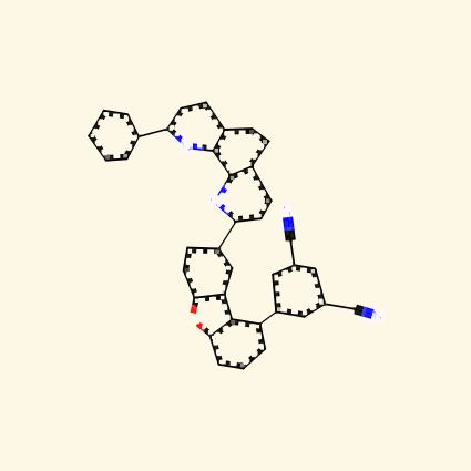 N#Cc1cc(C#N)cc(-c2cccc3oc4ccc(-c5ccc6ccc7ccc(-c8ccccc8)nc7c6n5)cc4c23)c1